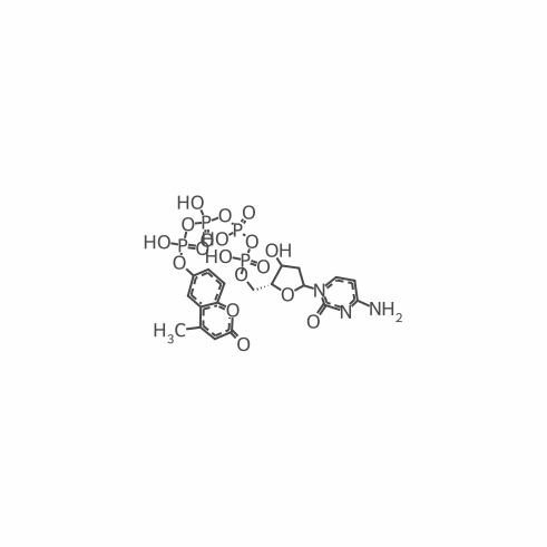 Cc1cc(=O)oc2ccc(OP(=O)(O)OP(=O)(O)OP(=O)(O)OP(=O)(O)OC[C@H]3OC(n4ccc(N)nc4=O)CC3O)cc12